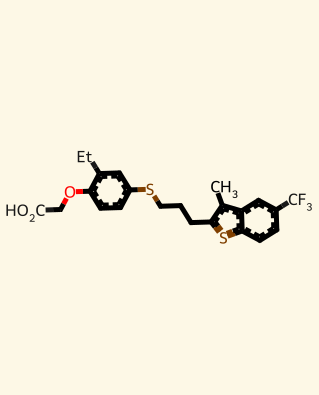 CCc1cc(SCCCc2sc3ccc(C(F)(F)F)cc3c2C)ccc1OCC(=O)O